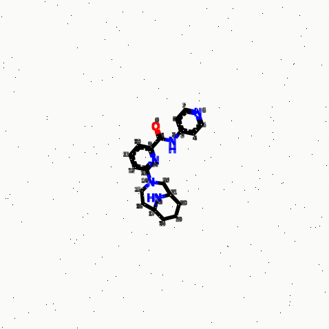 O=C(Nc1ccncc1)c1cccc(N2CCC3CCCC(C2)N3)n1